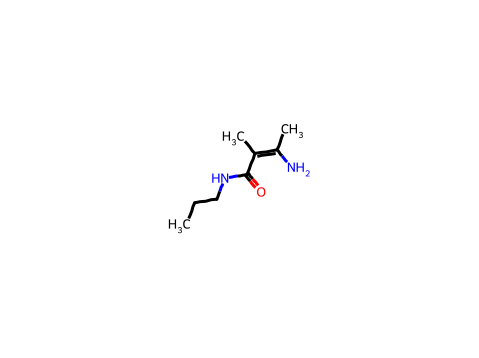 CCCNC(=O)/C(C)=C(/C)N